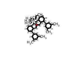 CC[CH2][Hf]([CH3])([CH3])([CH3])(=[SiH2])([CH]1C=Cc2c(-c3cc(C)cc(C)c3)cccc21)[CH]1C=Cc2c(-c3cc(C)cc(C)c3)cccc21